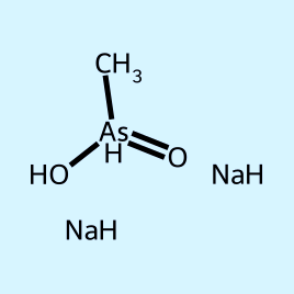 C[AsH](=O)O.[NaH].[NaH]